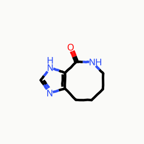 O=C1NCCCCc2nc[nH]c21